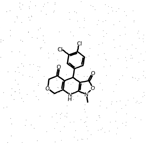 Cn1oc(=O)c2c1NC1=C(C(=O)COC1)C2c1ccc(Cl)c(Cl)c1